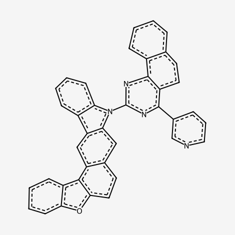 c1cncc(-c2nc(-n3c4ccccc4c4cc5c(ccc6oc7ccccc7c65)cc43)nc3c2ccc2ccccc23)c1